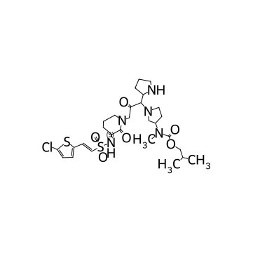 CC(C)COC(=O)N(C)C1CCN(C(C(=O)CN2CCC[C@H](NS(=O)(=O)C=Cc3ccc(Cl)s3)C2=O)C2CCCN2)C1